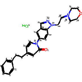 Cl.O=c1cc(CCc2ccccc2)ccn1-c1ccc2c(cnn2CCN2CCOCC2)c1